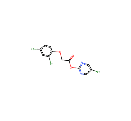 O=C(COc1ccc(Cl)cc1Cl)Oc1ncc(Cl)cn1